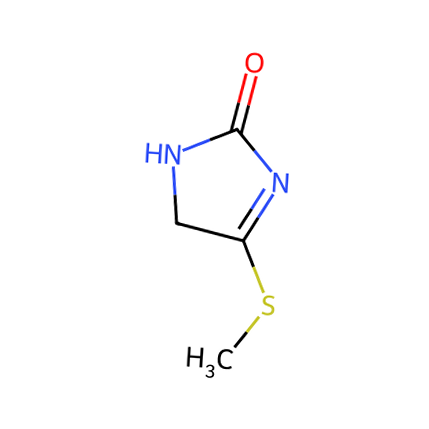 CSC1=NC(=O)NC1